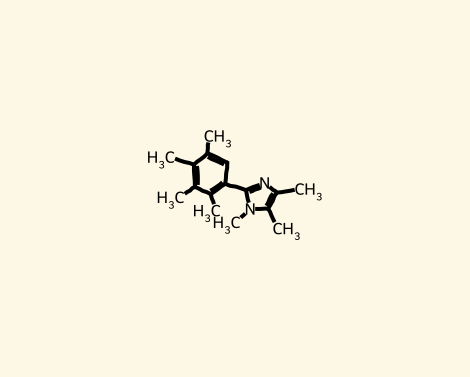 Cc1cc(-c2nc(C)c(C)n2C)c(C)c(C)c1C